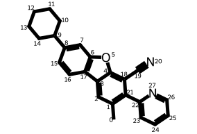 Cc1cc2c(oc3cc(C4CCCCC4)ccc32)c(C#N)c1-c1ccccn1